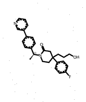 C[C@@H](c1ccc(-c2cccnc2)cc1)N1CCC(CCCO)(c2ccc(F)cc2)CC1=O